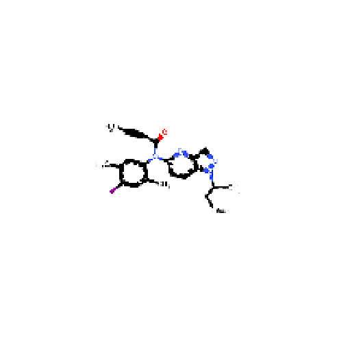 CC#CC(=O)N(c1ccc2c(cnn2C(C)COC)n1)c1cc(C)c(I)cc1C